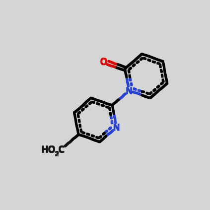 O=C(O)c1ccc(-n2ccccc2=O)nc1